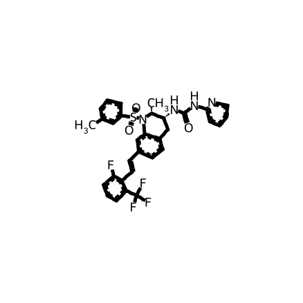 Cc1cccc(S(=O)(=O)N2c3cc(/C=C/c4c(F)cccc4C(F)(F)F)ccc3C[C@@H](NC(=O)Nc3ccccn3)[C@H]2C)c1